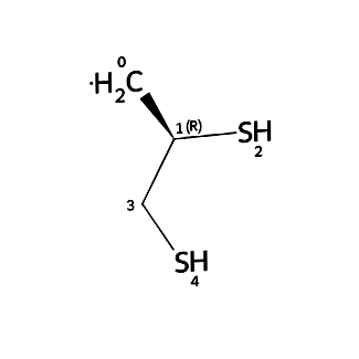 [CH2][C@@H](S)CS